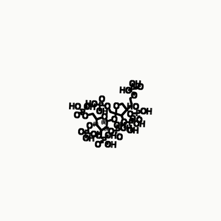 O=P(O)(O)OCCC1(OP(=O)(O)O)COC(COP(=O)(O)O)(O[C@@H]2OC(COP(=O)(O)O)[C@@H](OP(=O)(O)O)C(OP(=O)(O)O)[C@@H]2OP(=O)(O)O)C1OP(=O)(O)O